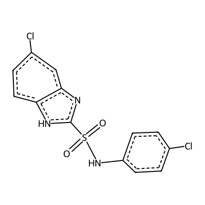 O=S(=O)(Nc1ccc(Cl)cc1)c1nc2cc(Cl)ccc2[nH]1